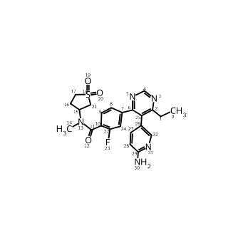 CCc1ncnc(-c2ccc(C(=O)N(C)C3CCS(=O)(=O)C3)c(F)c2)c1-c1ccc(N)nc1